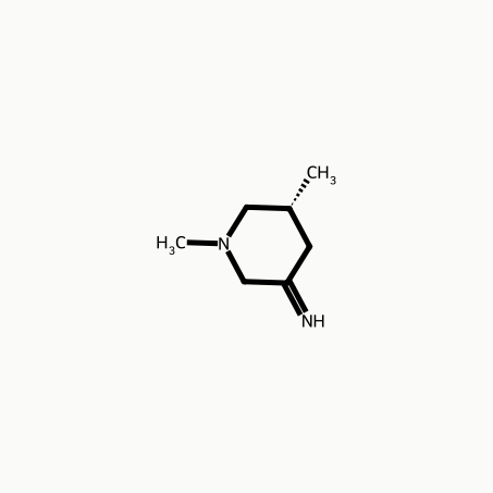 C[C@@H]1CC(=N)CN(C)C1